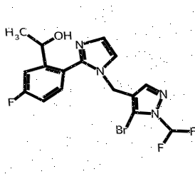 CC(O)c1cc(F)ccc1-c1nccn1Cc1cnn(C(F)F)c1Br